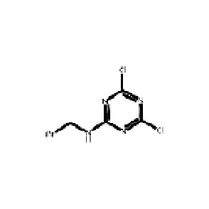 CC(C)CNc1nc(Cl)nc(Cl)n1